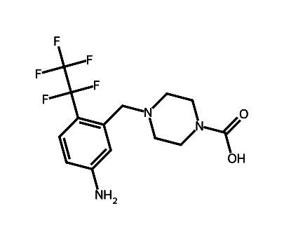 Nc1ccc(C(F)(F)C(F)(F)F)c(CN2CCN(C(=O)O)CC2)c1